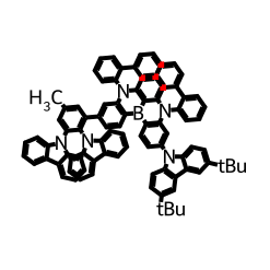 Cc1cc(-c2ccc3c(c2)N(c2ccccc2-c2ccccc2)c2cccc4c2B3c2ccc(-n3c5ccc(C(C)(C)C)cc5c5cc(C(C)(C)C)ccc53)cc2N4c2ccccc2-c2ccccc2)c(-n2c3ccccc3c3ccccc32)c(-n2c3ccccc3c3ccccc32)c1